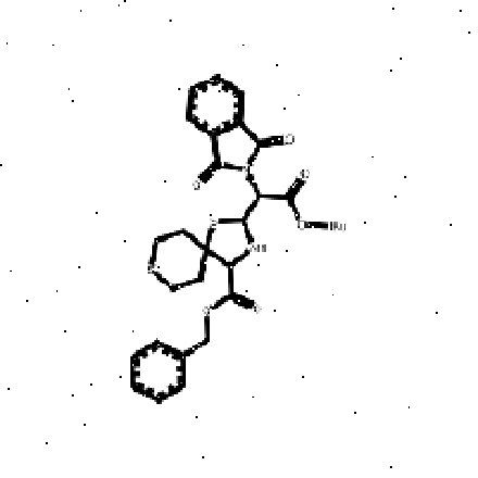 CC(C)(C)OC(=O)C(C1NC(C(=O)OCc2ccccc2)C2(CCSCC2)S1)N1C(=O)c2ccccc2C1=O